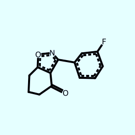 O=C1CCCc2onc(-c3cccc(F)c3)c21